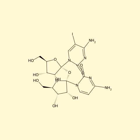 Nc1ccn([C@]2(O[C@@]3(n4cc(I)c(N)nc4=O)O[C@H](CO)[C@@H](O)[C@H]3O)O[C@H](CO)[C@@H](O)[C@H]2O)c(=O)n1